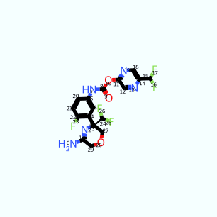 NC1=N[C@@](c2cc(NC(=O)Oc3cnc(C(F)F)cn3)ccc2F)(C(F)F)COC1